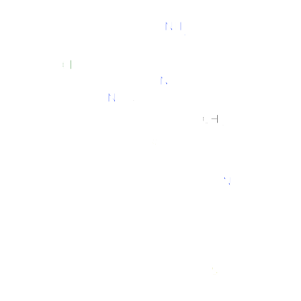 CC(Sc1nc(N)cc(Cl)n1)c1cc2c(cn1)SCC2